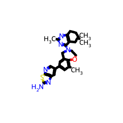 Cc1nc2c(c(N3CCOc4c(C)cc(-c5cnc6sc(N)nc6c5)cc4C3)n1)CC(C)(C)CC2